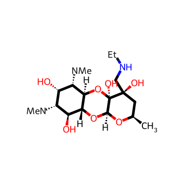 CCNC[C@]1(O)C[C@@H](C)O[C@H]2O[C@@H]3[C@@H](O)[C@H](NC)[C@H](O)[C@H](NC)[C@H]3O[C@]21O